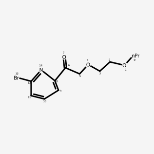 CCCOCCOCC(=O)c1cccc(Br)n1